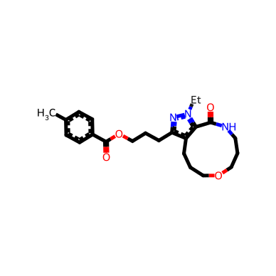 CCn1nc(CCCOC(=O)c2ccc(C)cc2)c2c1C(=O)NCCCOCCC2